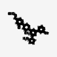 CC(C)c1cc(-c2cc(N3CCN(c4ncc(COC=O)cc4Cl)C[C@H]3C)nc(N3CCC[C@@H]3C)n2)ccn1